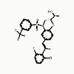 C/C(=C\c1ccc2c(c1)N(S(=O)(=O)c1cccc(C(F)(F)F)c1)C[C@H]([C@H](C)O)O2)c1c(F)cccc1Cl